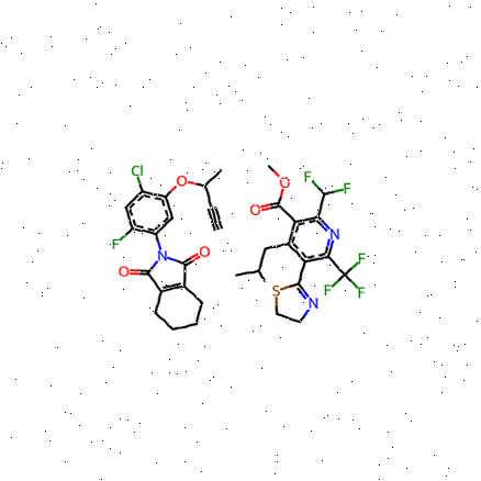 C#CC(C)Oc1cc(N2C(=O)C3=C(CCCC3)C2=O)c(F)cc1Cl.COC(=O)c1c(C(F)F)nc(C(F)(F)F)c(C2=NCCS2)c1CC(C)C